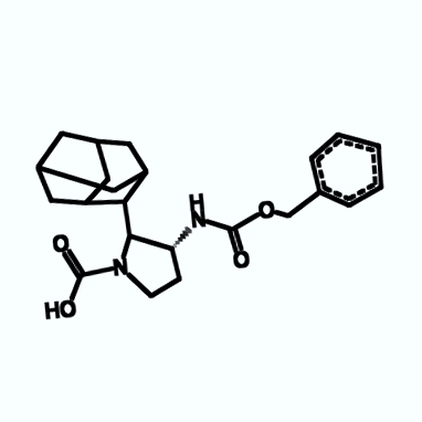 O=C(N[C@@H]1CCN(C(=O)O)C1C1C2CC3CC(C2)CC1C3)OCc1ccccc1